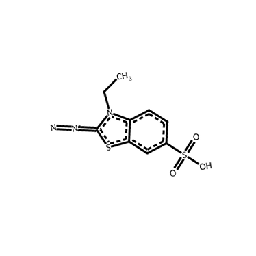 CCn1c(=[N+]=[N-])sc2cc(S(=O)(=O)O)ccc21